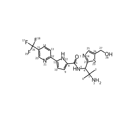 CC(C)(N)C(NC(=O)c1ccc(-c2ccc(C(F)(F)F)cn2)[nH]1)c1ncc(CO)s1